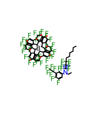 CCCCCCC(F)(F)C(F)(F)C(F)(F)[NH+](CC)c1cc(F)c(F)c(C(F)(F)C(F)(F)F)c1F.Fc1cc2c(c(F)c1F)-c1c(F)c(F)c(F)c(F)c1C2[B-](C1c2cc(F)c(F)c(F)c2-c2c(F)c(F)c(F)c(F)c21)(C1c2cc(F)c(F)c(F)c2-c2c(F)c(F)c(F)c(F)c21)C1c2cc(F)c(F)c(F)c2-c2c(F)c(F)c(F)c(F)c21